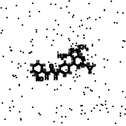 Cn1nc(N)c2c(-c3ccc(NC(=O)Nc4ccccc4N=O)cc3)cc(C3CC3)nc21